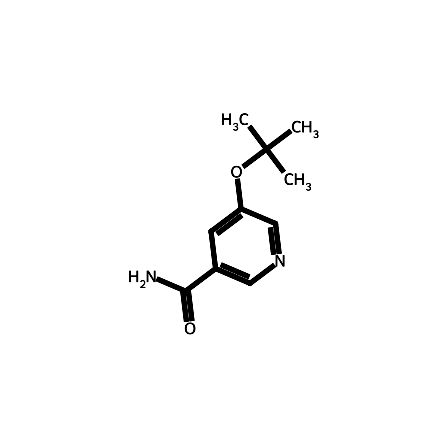 CC(C)(C)Oc1cncc(C(N)=O)c1